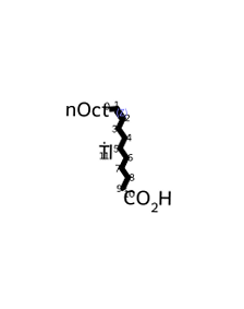 CCCCCCCC/C=C\CCCCCCCC(=O)O.[Tl]